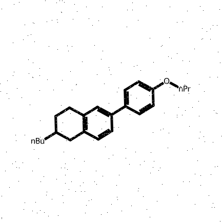 CCCCC1CCc2cc(-c3ccc(OCCC)cc3)ccc2C1